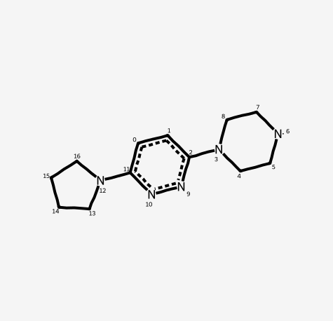 c1cc(N2CC[N]CC2)nnc1N1CCCC1